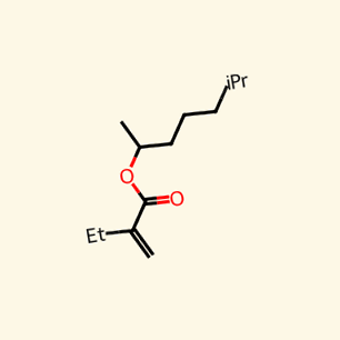 C=C(CC)C(=O)OC(C)CCCC(C)C